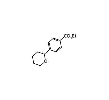 CCOC(=O)c1ccc(C2CCCCO2)cc1